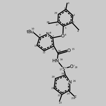 Cc1cc(C)c(Oc2nc(C(C)(C)C)ccc2C(=O)N[S+]([O-])c2ccc(C)c(F)n2)c(C)c1